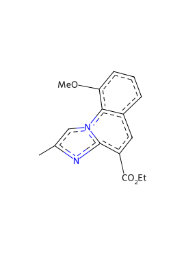 CCOC(=O)c1cc2cccc(OC)c2n2cc(C)nc12